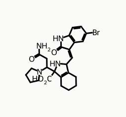 NC(=O)CC(N1CCCC1)C1(C(=O)O)NC(C=C2C(=O)Nc3ccc(Br)cc32)C2=C1CCCC2